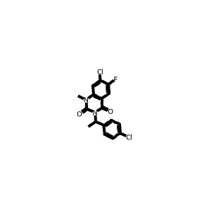 CC(c1ccc(Cl)cc1)n1c(=O)c2cc(F)c(Cl)cc2n(C)c1=O